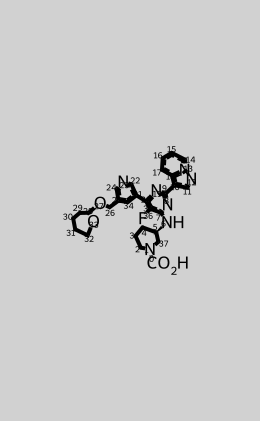 O=C(O)N1CCC[C@@H](Nc2nc(-c3cnn4ccccc34)nc(-c3cncc(COC4CCCCO4)c3)c2F)C1